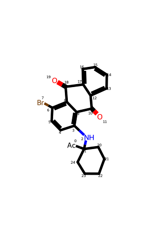 CC(=O)C1(Nc2ccc(Br)c3c2C(=O)c2ccccc2C3=O)CCCCC1